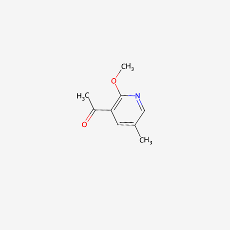 COc1ncc(C)cc1C(C)=O